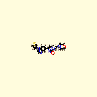 O=c1nc(-c2ccc3c(c2)ncn3-c2ccsc2)ccn1CCN1CCOCC1